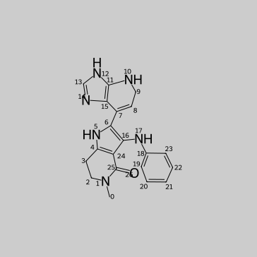 CN1CCc2[nH]c(C3=CCNc4[nH]cnc43)c(Nc3ccccc3)c2C1=O